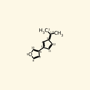 CC(C)=C1[C]=C(c2ccoc2)C=C1